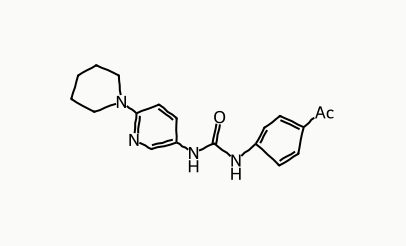 CC(=O)c1ccc(NC(=O)Nc2ccc(N3CCCCC3)nc2)cc1